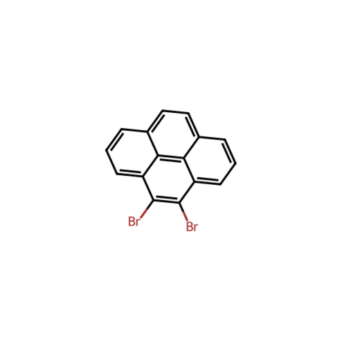 Brc1c(Br)c2cccc3ccc4cccc1c4c32